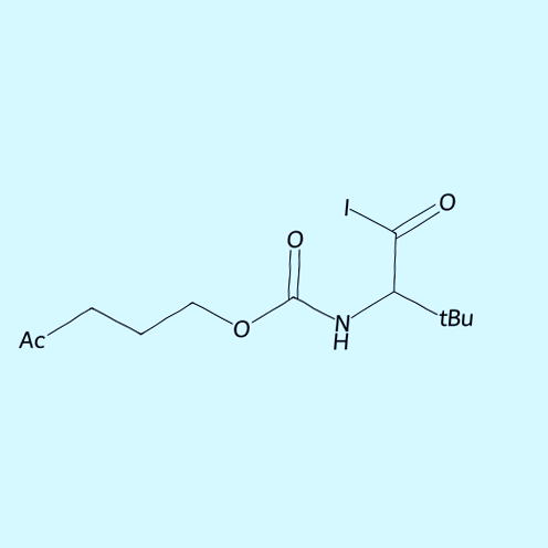 CC(=O)CCCOC(=O)NC(C(=O)I)C(C)(C)C